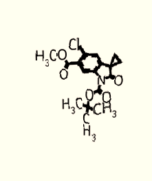 COC(=O)c1cc2c(cc1Cl)C1(CC1)C(=O)N2C(=O)OC(C)(C)C